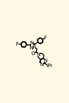 CC(C)c1ncc2c(n1)CCN(C(=O)Cn1nc(-c3ccc(F)cc3)nc1-c1ccc(F)cc1)C2